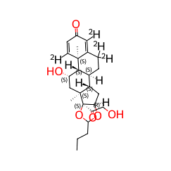 [2H]C1=CC(=O)C([2H])=C2C([2H])([2H])C[C@@H]3[C@H]([C@@H](O)C[C@@]4(C)[C@H]3C[C@H]3OC(CCC)O[C@]34C(=O)CO)[C@@]12C